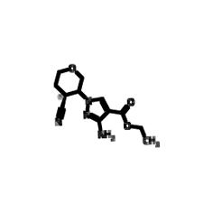 CCOC(=O)c1cn(C2COCC[C@@H]2C#N)nc1N